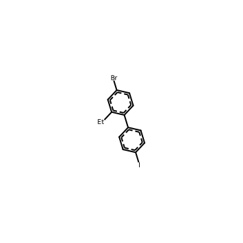 CCc1cc(Br)ccc1-c1ccc(I)cc1